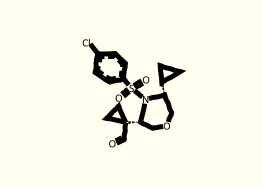 O=CC1([C@H]2COC[C@@H](C3CC3)N2S(=O)(=O)c2ccc(Cl)cc2)CC1